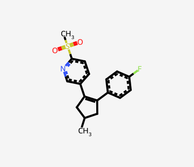 CC1CC(c2ccc(F)cc2)=C(c2ccc(S(C)(=O)=O)nc2)C1